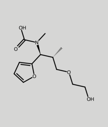 C[C@H](COCCO)[C@@H](c1ccco1)N(C)C(=O)O